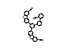 N#Cc1ccc2sc3ccc(-c4cc(-c5cccc(-c6ccccc6C#N)c5)cc(-c5ccc6sc7ccc(C#N)cc7c6c5)c4)cc3c2c1